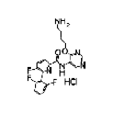 Cl.NCCCCOc1ncncc1NC(=O)c1ccc(F)c(-c2c(F)cccc2F)n1